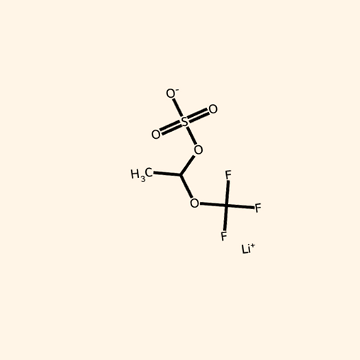 CC(OC(F)(F)F)OS(=O)(=O)[O-].[Li+]